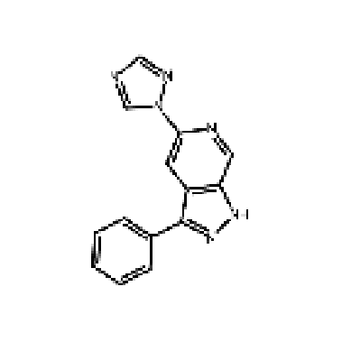 c1ccc(-c2n[nH]c3cnc(-n4cncn4)cc23)cc1